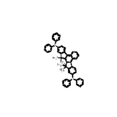 CC1(C)c2cc(N(c3ccccc3)c3ccccc3)ccc2-c2c1c1c(c3ccccc23)-c2ccc(N(c3ccccc3)c3ccccc3)cc2C1(C)C